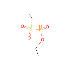 CCO[PH](=O)S(=O)(=O)CC